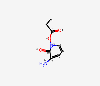 CCC(=O)On1cccc(N)c1=O